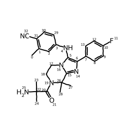 Cc1cc(Nc2c(-c3ccc(F)cc3)nc3n2CCN(C(=O)C(C)(C)N)C3(C)C)ccc1C#N